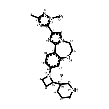 Cc1nc(-c2cn3c(n2)-c2ccc(N4CCC4[C@]4(C)CCCNC4)cc2OCC3)n(C(C)C)n1